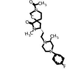 CC(=O)N1CCC2(CC1)C[C@H](CCN1CCN(c3ccc(F)cc3)C[C@@H]1C)N(C)C2=O